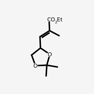 CCOC(=O)/C(C)=C/C1COC(C)(C)O1